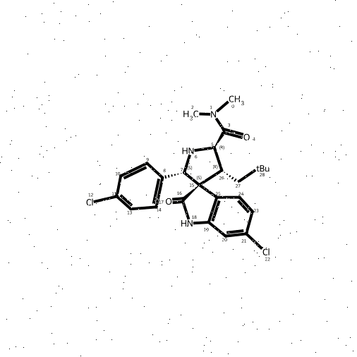 CN(C)C(=O)[C@@H]1N[C@@H](c2ccc(Cl)cc2)[C@]2(C(=O)Nc3cc(Cl)ccc32)[C@H]1CC(C)(C)C